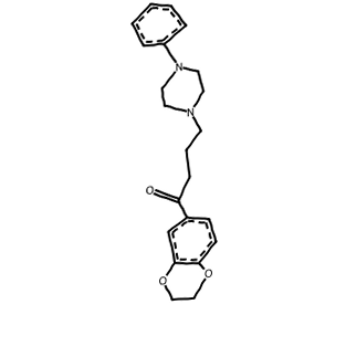 O=C(CCCN1CCN(c2ccccc2)CC1)c1ccc2c(c1)OCCO2